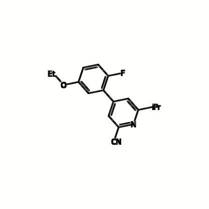 CCOc1ccc(F)c(-c2cc(C#N)nc(C(C)C)c2)c1